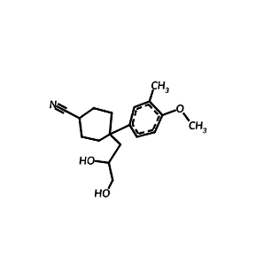 COc1ccc(C2(CC(O)CO)CCC(C#N)CC2)cc1C